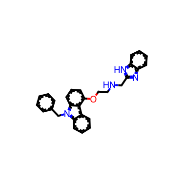 c1ccc(Cn2c3ccccc3c3c(OCCNCc4nc5ccccc5[nH]4)cccc32)cc1